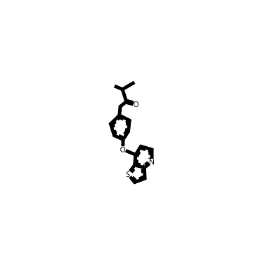 CC(C)C(=O)Cc1ccc(Oc2ccnc3ccsc23)cc1